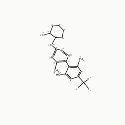 Cc1cc(C(F)(F)F)cc(O)c1-c1nnc(NC2CCCCC2O)nc1C